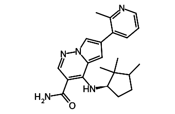 Cc1ncccc1-c1cc2c(N[C@@H]3CCC(C)C3(C)C)c(C(N)=O)cnn2c1